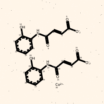 O=C([O-])C=CC(=O)Nc1ccccc1O.O=C([O-])C=CC(=O)Nc1ccccc1O.[Co+2]